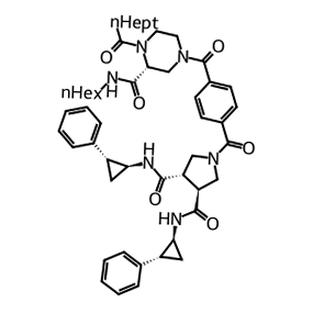 CCCCCCCC(=O)N1CCN(C(=O)c2ccc(C(=O)N3C[C@@H](C(=O)N[C@H]4C[C@@H]4c4ccccc4)[C@H](C(=O)N[C@H]4C[C@@H]4c4ccccc4)C3)cc2)C[C@@H]1C(=O)NCCCCCC